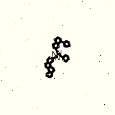 c1ccc(-c2nc(-c3ccc4cccc(-c5ccccc5)c4c3)nc(-c3ccc4ccc5c6ccccc6ccc5c4c3)n2)cc1